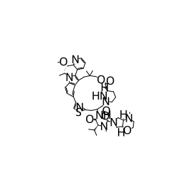 CCn1c(-c2cccnc2[C@H](C)OC)c2c3cc(ccc31)-c1csc(n1)C[C@H](NC(=O)[C@H](C(C)C)N(C)C(=O)N1C[C@@H]3OCCN(C)[C@@H]3C1)C(=O)N1CCC[C@H](N1)C(=O)OCC(C)(C)C2